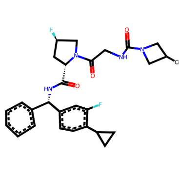 O=C(N[C@@H](c1ccccc1)c1ccc(C2CC2)c(F)c1)[C@@H]1C[C@@H](F)CN1C(=O)CNC(=O)N1CC(C(F)(F)F)C1